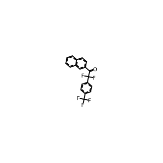 O=C(c1ccc2ccccc2c1)C(F)(F)c1ccc(C(F)(F)F)cc1